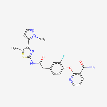 Cc1sc(NC(=O)Cc2ccc(Oc3ncccc3C(N)=O)c(F)c2)nc1-c1ccnn1C